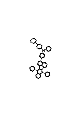 c1ccc(-c2c3c(c(-c4ccccc4)c4ccccc24)-c2ccc(-c4ccc(N(c5ccccc5)c5ccc(-c6cccnc6)nc5)cc4)c4cccc-3c24)cc1